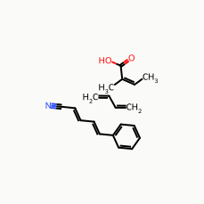 C=CC=C.CC=C(C)C(=O)O.N#CC=CC=Cc1ccccc1